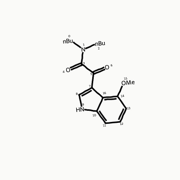 CCCCN(CCCC)C(=O)C(=O)c1c[nH]c2cccc(OC)c12